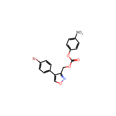 O=C(OCc1nocc1-c1ccc(Br)cc1)Oc1ccc([N+](=O)[O-])cc1